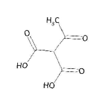 CC(=O)C(C(=O)O)C(=O)O